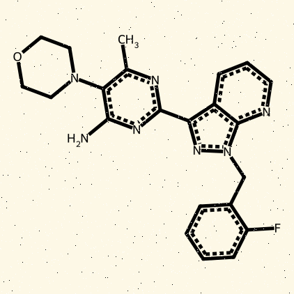 Cc1nc(-c2nn(Cc3ccccc3F)c3ncccc23)nc(N)c1N1CCOCC1